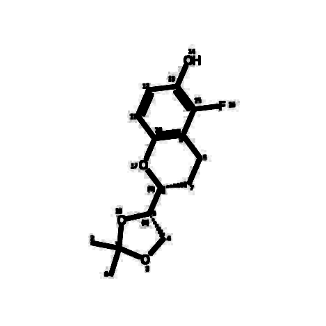 CC1(C)OC[C@@H]([C@H]2CCc3c(ccc(O)c3F)O2)O1